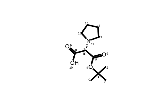 CC(C)(C)OC(=O)[C@H](C(=O)O)N1CCCC1